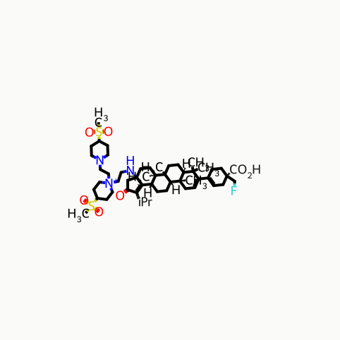 CC(C)C1=C2[C@H]3CC[C@@H]4[C@@]5(C)CC=C(C6=CC[C@](CF)(C(=O)O)CC6)C(C)(C)[C@@H]5CC[C@@]4(C)[C@]3(C)CC[C@@]2(NCC[N+]2(CCN3CCC(S(C)(=O)=O)CC3)CCC(S(C)(=O)=O)CC2)CC1=O